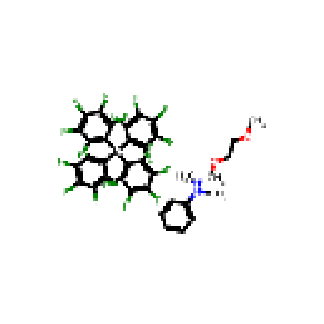 COCCOC.C[NH+](C)c1ccccc1.Fc1c(F)c(F)c([B-](c2c(F)c(F)c(F)c(F)c2F)(c2c(F)c(F)c(F)c(F)c2F)c2c(F)c(F)c(F)c(F)c2F)c(F)c1F